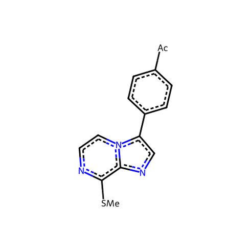 CSc1nccn2c(-c3ccc(C(C)=O)cc3)cnc12